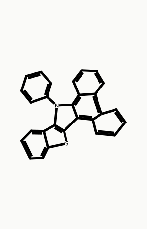 c1ccc(-n2c3c4ccccc4sc3c3c4ccccc4c4ccccc4c32)cc1